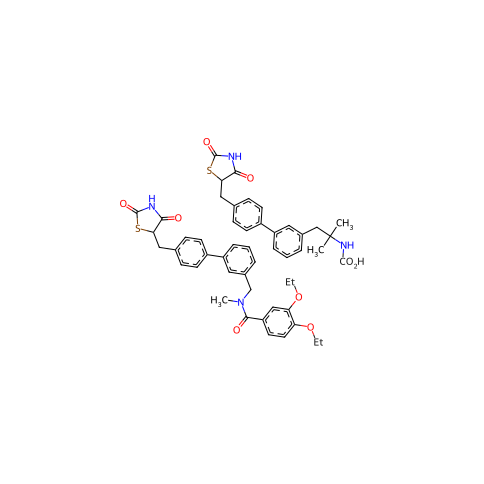 CC(C)(Cc1cccc(-c2ccc(CC3SC(=O)NC3=O)cc2)c1)NC(=O)O.CCOc1ccc(C(=O)N(C)Cc2cccc(-c3ccc(CC4SC(=O)NC4=O)cc3)c2)cc1OCC